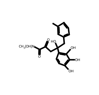 Cc1cccc(CC(O)(CC(=O)C(=O)N(C)O)c2ccc(O)c(O)c2O)c1